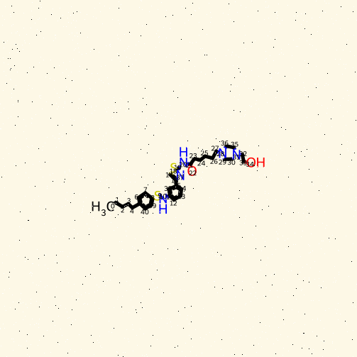 CCCCCc1ccc(SNc2cccc(-c3csc(NC(=O)CCCCCN4CCN(CCO)CC4)n3)c2)cc1